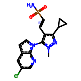 Cn1nc(C2CC2)c(/C=C/S(N)(=O)=O)c1-n1ccc2cc(Cl)cnc21